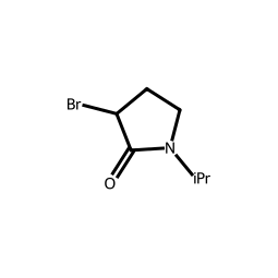 CC(C)N1CCC(Br)C1=O